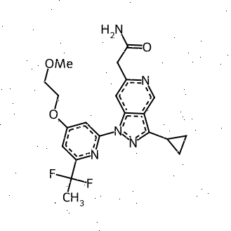 COCCOc1cc(-n2nc(C3CC3)c3cnc(CC(N)=O)cc32)nc(C(C)(F)F)c1